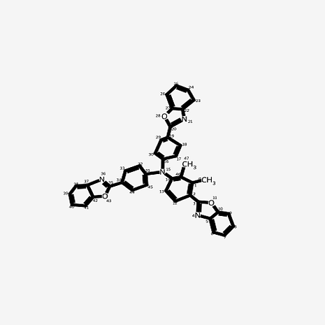 Cc1c(-c2nc3ccccc3o2)ccc(N(c2ccc(-c3nc4ccccc4o3)cc2)c2ccc(-c3nc4ccccc4o3)cc2)c1C